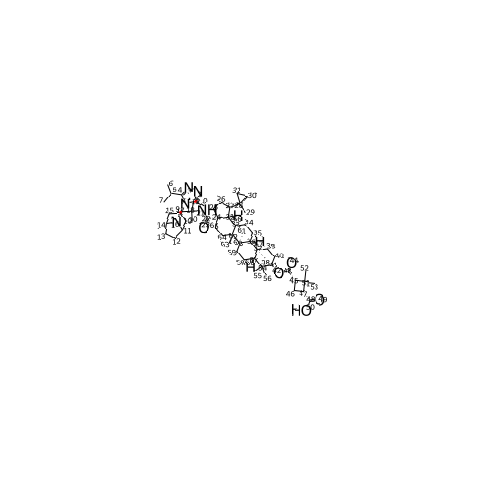 Cc1nnc(C(C)C)n1C1CC2CCC(C1)N2CC(C)(C)NC(=O)[C@]12CC[C@@H](C3(C)CC3)[C@@H]1C1CC[C@@H]3[C@@]4(C)CC[C@H](OC(=O)[C@H]5C[C@@H](C(=O)O)C5(C)C)C(C)(C)[C@@H]4CC[C@@]3(C)[C@]1(C)CC2